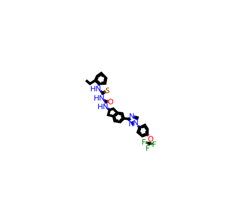 CCc1ccccc1NC(=S)NC(=O)NC1Cc2ccc(-c3ncn(-c4ccc(OC(F)(F)F)cc4)n3)cc2C1